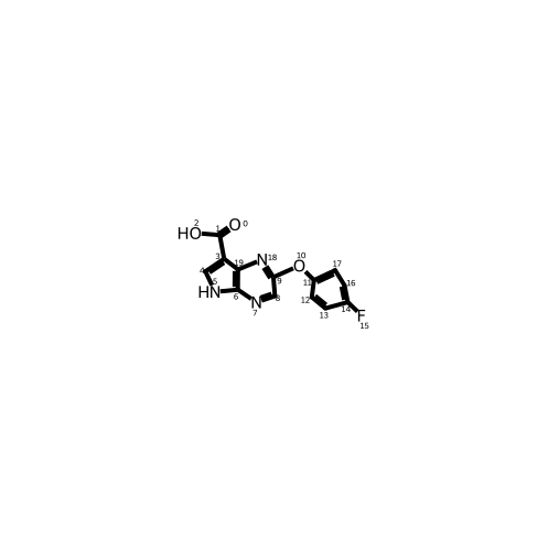 O=C(O)c1c[nH]c2ncc(Oc3ccc(F)cc3)nc12